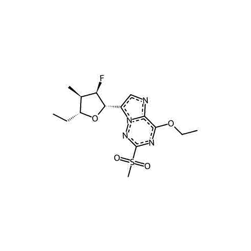 CCOc1nc(S(C)(=O)=O)nn2c([C@@H]3O[C@H](CC)[C@@H](C)[C@H]3F)cnc12